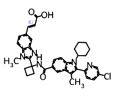 Cc1c(-c2ccc(Cl)cn2)n(C2CCCCC2)c2ccc(C(=O)NC3(c4nc5cc(/C=C/C(=O)O)ccc5n4C)CCC3)cc12